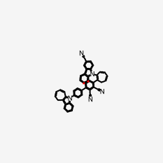 N#Cc1ccc2c(c1)c1ccccc1n2C1=C(c2ccc(-c3ccc(-n4c5c(c6ccccc64)CC=CC=C5)cc3)c(C#N)c2C#N)CC=CC=C1